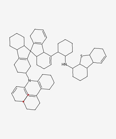 C1=CC(N(C2=C(C3=CCCCC3)CCCC2)C2CCC3=C(C2)C2(C4=C(C=CCC4)C4C(C5CCCCC5NC5CCCC6C7C=CCCC7SC56)=CCCC42)C2CCCCC32)=CCC1